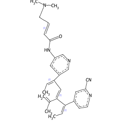 C=C(C)C(=C\C(=C/C)c1cncc(NC(=O)/C=C/CN(C)C)c1)/C(=C\C)c1ccnc(C#N)c1